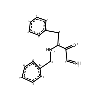 N=CC(=O)C(Cc1ccccc1)NCc1ccccc1